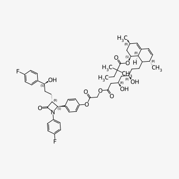 CCC(C)(C)C(=O)O[C@H]1C[C@@H](C)C=C2C=C[C@H](C)C(CC[C@@H](O)C[C@@H](O)CC(=O)OCC(=O)Oc3ccc([C@@H]4[C@@H](CC[C@H](O)c5ccc(F)cc5)C(=O)N4c4ccc(F)cc4)cc3)[C@H]21